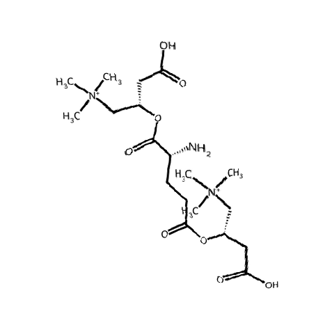 C[N+](C)(C)C[C@H](CC(=O)O)OC(=O)CC[C@@H](N)C(=O)O[C@@H](CC(=O)O)C[N+](C)(C)C